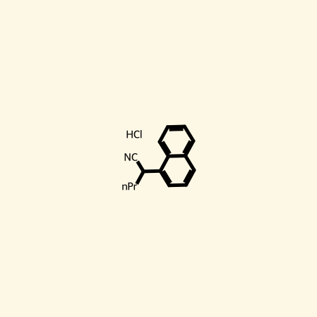 CCCC(C#N)c1cccc2ccccc12.Cl